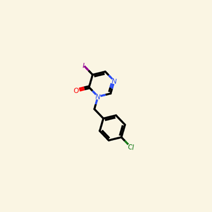 O=c1c(I)cncn1Cc1ccc(Cl)cc1